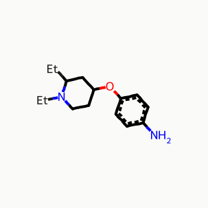 CCC1CC(Oc2ccc(N)cc2)CCN1CC